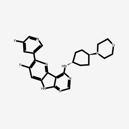 Fc1cncc(-c2nc3c(cc2F)[nH]c2ncnc(N[C@H]4CC[C@H](N5CCOCC5)CC4)c23)c1